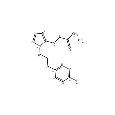 CC(=O)CSc1nccn1CCCc1ccc(Cl)cc1.Cl